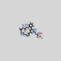 CC(O)CNc1nc(-c2cnc(NC(C)C)s2)cc(-c2ccccc2CNC(=O)NC2CC2)n1